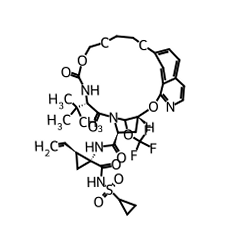 C=C[C@@H]1C[C@]1(NC(=O)[C@@H]1C[C@H]2Oc3nccc4ccc(cc34)CCCCCOC(=O)N[C@@H](C(C)(C)C)C(=O)N1C2OC(F)(F)F)C(=O)NS(=O)(=O)C1CC1